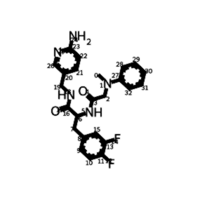 CN(CC(=O)NC(Cc1ccc(F)c(F)c1)C(=O)NCc1ccc(N)nc1)c1ccccc1